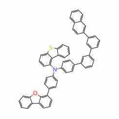 c1cc(-c2ccc(N(c3ccc(-c4cccc5c4oc4ccccc45)cc3)c3cccc4sc5ccccc5c34)cc2)cc(-c2cccc(-c3ccc4ccccc4c3)c2)c1